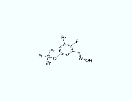 CC(C)[Si](Oc1cc(Br)c(F)c(C=NO)c1)(C(C)C)C(C)C